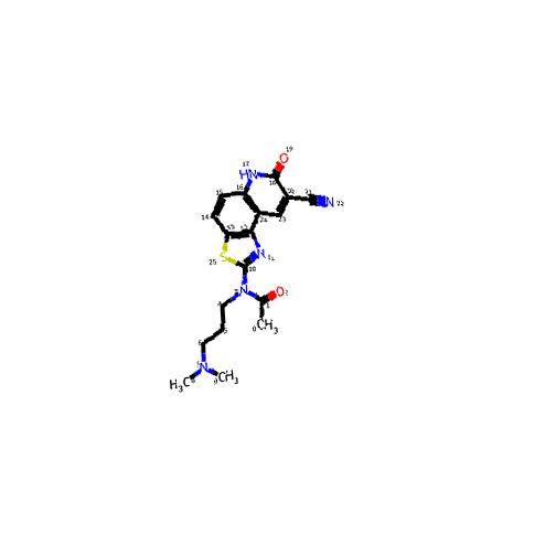 CC(=O)N(CCCN(C)C)c1nc2c(ccc3[nH]c(=O)c(C#N)cc32)s1